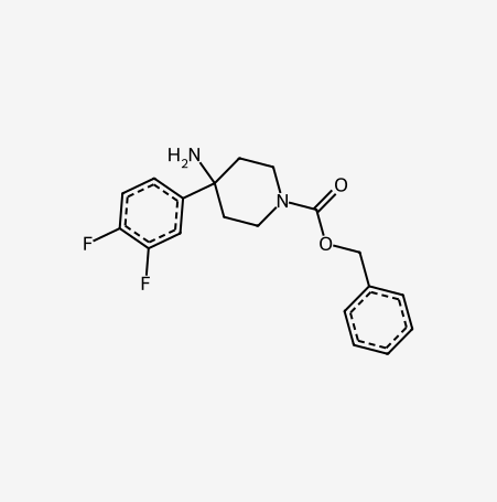 NC1(c2ccc(F)c(F)c2)CCN(C(=O)OCc2ccccc2)CC1